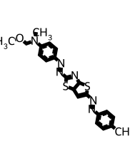 COCN(C)c1ccc(N=NC2=NC3SC(N=Nc4ccc(C)cc4)=CC3S2)cc1